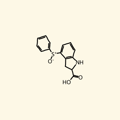 O=C(O)C1Cc2c(cccc2[S+]([O-])c2ccccc2)N1